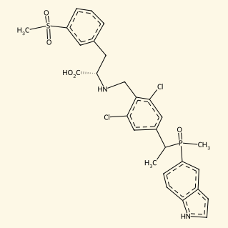 CC(c1cc(Cl)c(CN[C@@H](Cc2cccc(S(C)(=O)=O)c2)C(=O)O)c(Cl)c1)P(C)(=O)c1ccc2[nH]ccc2c1